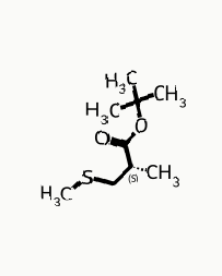 CSC[C@@H](C)C(=O)OC(C)(C)C